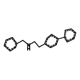 c1ccc(CNCCc2ccc(-c3ccccc3)cc2)cc1